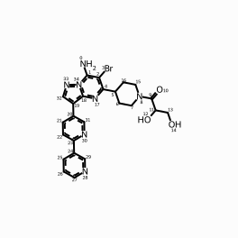 Nc1c(Br)c(C2CCN(C(=O)C(O)CO)CC2)nc2c(-c3ccc(-c4cccnc4)nc3)cnn12